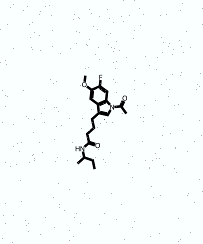 CCC(C)NC(=O)CCCc1cn(C(C)=O)c2cc(F)c(OC)cc12